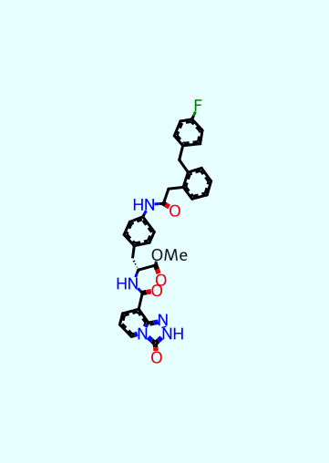 COC(=O)[C@@H](Cc1ccc(NC(=O)Cc2ccccc2Cc2ccc(F)cc2)cc1)NC(=O)c1cccn2c(=O)[nH]nc12